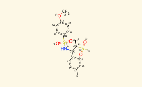 Cc1ccc([C@@H](NS(=O)(=O)c2ccc(OC(F)(F)F)cc2)[C@@H](C)S(C)(=O)=O)cc1